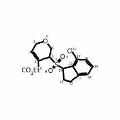 CCOC(=O)C1=CCOCC1S(=O)(=O)C1CCc2cccc(Cl)c21